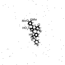 COc1ccc([C@H](Cc2c(Cl)c[n+]([O-])cc2Cl)c2cc(CNC(C)(C(=O)OC3CCN(C)CC3)c3ccccc3)sc2C(=O)O)cc1OC